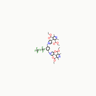 CCOC(=O)c1c(C)nc(C)c(C(=O)OCC)c1-c1cc[n+](Cc2ccc(C[n+]3ccc(-c4c(C(=O)OCC)c(C)nc(C)c4C(=O)OCC)cc3)cc2)cc1.F[B-](F)(F)F.F[B-](F)(F)F